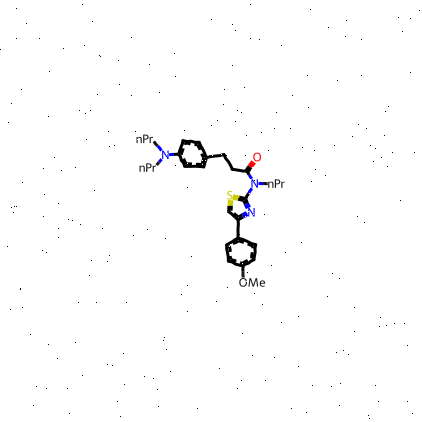 CCCN(CCC)c1ccc(CCC(=O)N(CCC)c2nc(-c3ccc(OC)cc3)cs2)cc1